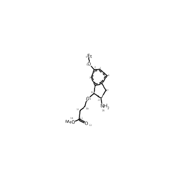 CCOc1ccc2c(c1)C(OCCC(=O)OC)C(N)C2